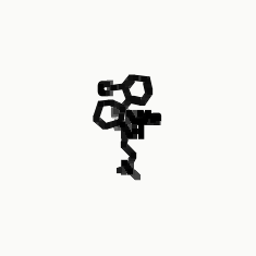 CN[C@@]1(c2ccccc2Cl)CCCC[C@@H]1NCCN(C)C